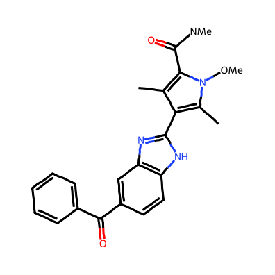 CNC(=O)c1c(C)c(-c2nc3cc(C(=O)c4ccccc4)ccc3[nH]2)c(C)n1OC